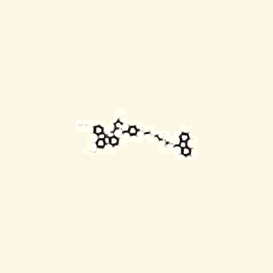 COc1ccc(C(OCC2CC(O)CN2C(=O)c2ccc(OCCOCCNC(=O)OCC3c4ccccc4-c4ccccc43)cc2)(c2ccccc2)c2ccc(OC)cc2)cc1